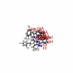 Cc1ccc(-c2cc3c4c(c2)N(c2cc5c(cc2-c2c(O)c(O)c(O)c(O)c2O)C(C)(C)CCC5(C)C)c2cc5c(cc2B4n2c(-c4c(O)c(O)c(O)c(O)c4O)nc4c2C3=CCC4)C(C)(C)CCC5(C)C)c(C)c1